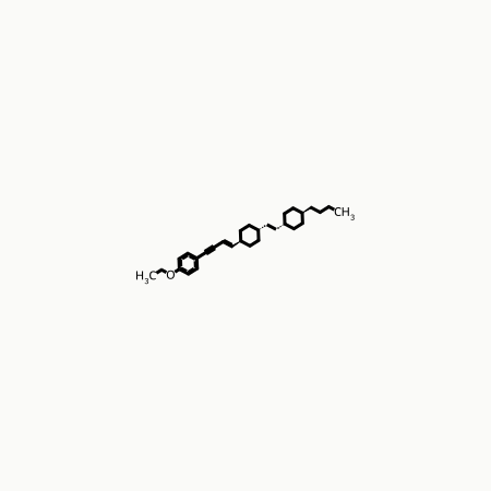 CCCC[C@H]1CC[C@H](CC[C@H]2CC[C@H](C=CC#Cc3ccc(OCC)cc3)CC2)CC1